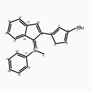 C[Si](=C1C(C2=CC(C(C)(C)C)=CC2)=[C]c2ccccc21)c1ccccc1